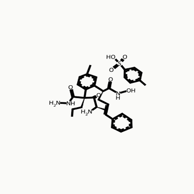 CCC[C@](C(=O)NN)(C(=O)[C@@H](C)N)c1ccc(C)cc1[C@H](C/C=C/c1ccccc1)C(=O)NO.Cc1ccc(S(=O)(=O)O)cc1